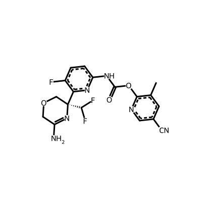 Cc1cc(C#N)cnc1OC(=O)Nc1ccc(F)c([C@]2(C(F)F)COCC(N)=N2)n1